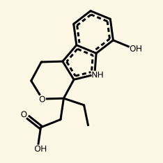 CCC1(CC(=O)O)OCCc2c1[nH]c1c(O)cccc21